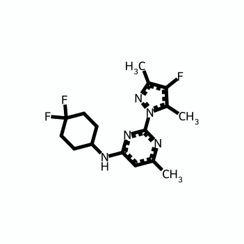 Cc1cc(NC2CCC(F)(F)CC2)nc(-n2nc(C)c(F)c2C)n1